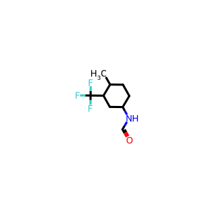 CC1CCC(NC=O)CC1C(F)(F)F